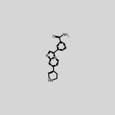 NC(=O)c1cccc(-c2cnc3cc(C4=CCNCC4)ccn23)c1